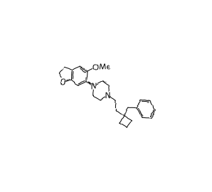 COc1cc2c(cc1N1CCN(CCC3(Cc4ccccc4)CCC3)CC1)OCC2